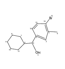 Cc1cc(C(O)C2CCCCC2)ccc1Br